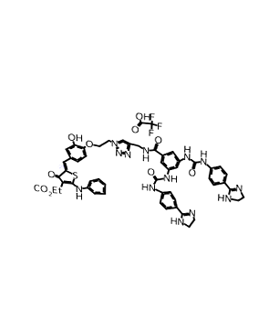 CCOC(=O)C1=C(Nc2ccccc2)S/C(=C\c2ccc(OCCn3cc(CNC(=O)c4cc(NC(=O)Nc5ccc(C6=NCCN6)cc5)cc(NC(=O)Nc5ccc(C6=NCCN6)cc5)c4)nn3)c(O)c2)C1=O.O=C(O)C(F)(F)F